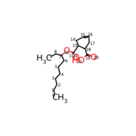 CCCCCCCC(CC)OC(=O)C1CC=CCC1C(=O)O